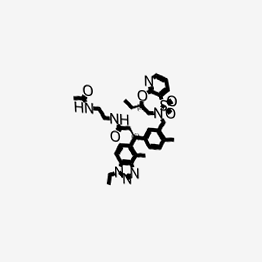 CC[C@@H]1CN(Cc2cc([C@H](CC(=O)NCCNC(C)=O)c3ccc4c(nnn4CC)c3C)ccc2C)S(=O)(=O)c2cccnc2O1